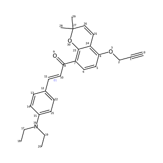 C#CCOc1ccc(C(=O)/C=C/c2ccc(N(CC)CC)cc2)c2c1C=CC(C)(C)O2